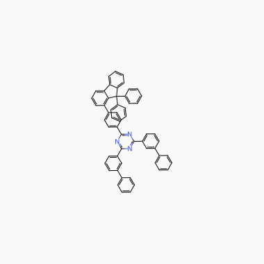 c1ccc(-c2cccc(-c3nc(-c4ccc(-c5cccc6c5C(c5ccccc5)(c5ccccc5)c5ccccc5-6)cc4)nc(-c4cccc(-c5ccccc5)c4)n3)c2)cc1